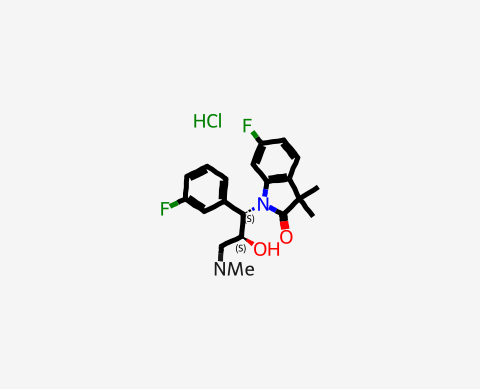 CNC[C@H](O)[C@H](c1cccc(F)c1)N1C(=O)C(C)(C)c2ccc(F)cc21.Cl